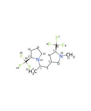 CC(CC1C[C@@H](C(F)(F)F)N(C)C1)N1CCC[C@@H]1C(F)(F)F